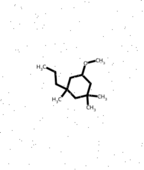 CCCC1(C)CC(OC)CC(C)(C)C1